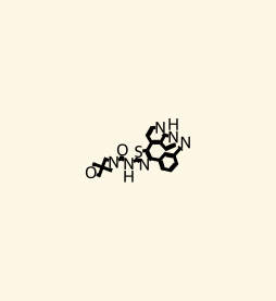 N#Cc1cccc(-c2nc(NC(=O)N3CC4(COC4)C3)sc2-c2ccnc3[nH]ccc23)c1